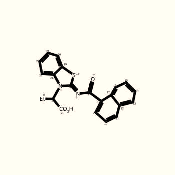 CCC(C(=O)O)n1c(=NC(=O)c2cccc3ccccc23)sc2ccccc21